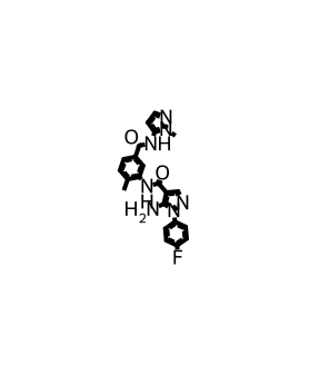 Cc1ccc(C(=O)Nc2ccnn2C)cc1NC(=O)c1cnn(-c2ccc(F)cc2)c1N